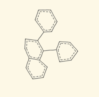 c1ccc(-c2ccc3ccccc3c2-c2ccccc2)cc1